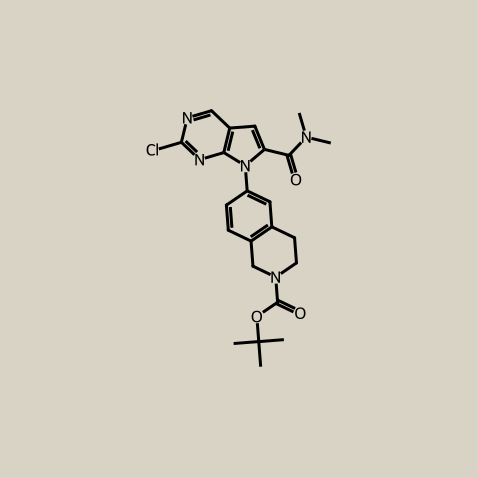 CN(C)C(=O)c1cc2cnc(Cl)nc2n1-c1ccc2c(c1)CCN(C(=O)OC(C)(C)C)C2